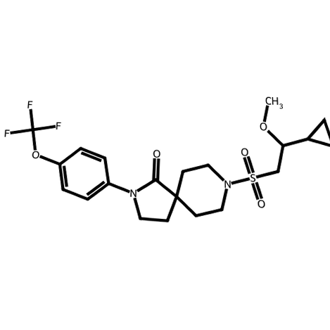 COC(CS(=O)(=O)N1CCC2(CCN(c3ccc(OC(F)(F)F)cc3)C2=O)CC1)C1CC1